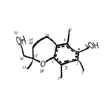 Cc1c(C)c2c(c(C)c1O)CC[C@@](C)(CO)O2